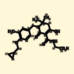 Cc1cc(CN2C(=O)C(C(=O)NCC(=O)O)=C(O)CC2(C)C)ccc1OCC1CC1